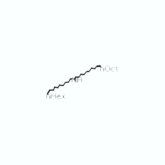 CCCCCC/C=C\CCCCCCCCNCCCCCCCC/C=C\CCCCCCCC